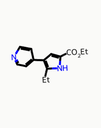 CCOC(=O)c1cc(-c2ccncc2)c(CC)[nH]1